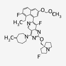 C=C1CCCN(c2nc(OC[C@@]34CCCN3C[C@H](F)C4)nc3c(F)c(-c4cc(OCOC)cc5ccc(F)c(CC)c45)ncc23)CC1